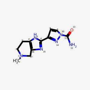 CN1CCc2[nH]c(-c3[c]cn(C(N)=O)n3)nc2C1